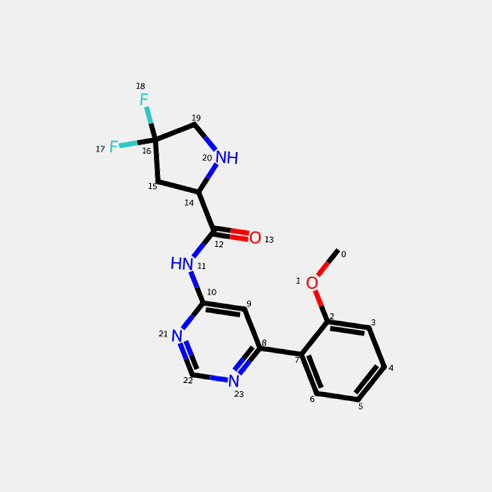 COc1ccccc1-c1cc(NC(=O)C2CC(F)(F)CN2)ncn1